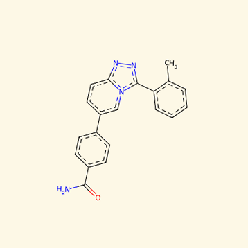 Cc1ccccc1-c1nnc2ccc(-c3ccc(C(N)=O)cc3)cn12